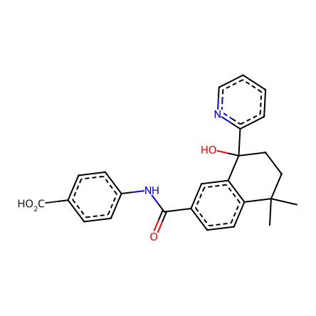 CC1(C)CCC(O)(c2ccccn2)c2cc(C(=O)Nc3ccc(C(=O)O)cc3)ccc21